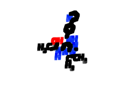 CC[C@@H](CO)Nc1cc(NCc2ccc(-c3ccccn3)cc2)c2ncn(C(C)C)c2n1